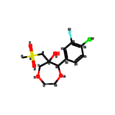 CS(=O)(=O)CC1(O)COCCOC1c1ccc(Cl)c(F)c1